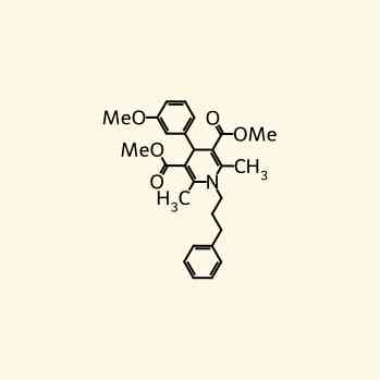 COC(=O)C1=C(C)N(CCCc2ccccc2)C(C)=C(C(=O)OC)C1c1cccc(OC)c1